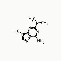 CN(C)c1nc(N)c2ncn(C)c2n1